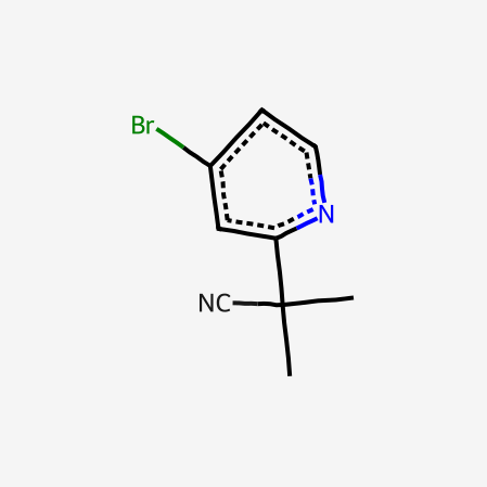 CC(C)(C#N)c1cc(Br)ccn1